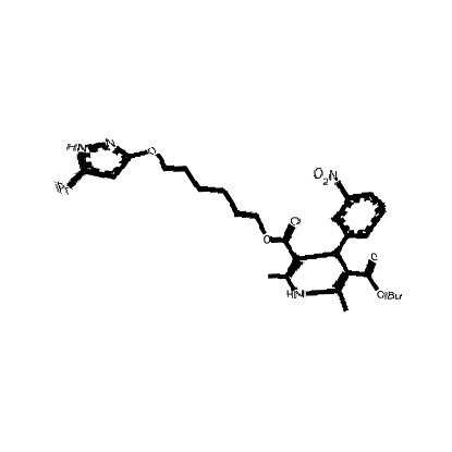 CC1=C(C(=O)OCCCCCCOc2cc(C(C)C)[nH]n2)C(c2cccc([N+](=O)[O-])c2)C(C(=O)OCC(C)C)=C(C)N1